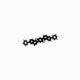 c1cc2c(ccc3c4cc5oc6c7ccc(C8CCCCC8)cc7ccc6c5cc4oc23)cc1C1CCCCC1